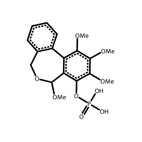 COc1c(OC)c(OP(=O)(O)O)c2c(c1OC)-c1ccccc1COC2OC